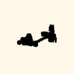 Cc1ncsc1-c1ccc(CNC(=O)[C@@H]2C[C@@H](O)CN2C(=O)[C@@H](NC(=O)CCCCCCCCCCCCC(=O)NCc2ccc(COC[C@H](NC(=O)c3ccn(S(C)(=O)=O)c3)C(=O)Nc3nc(-c4ccccc4)cs3)cc2)C(C)(C)C)cc1